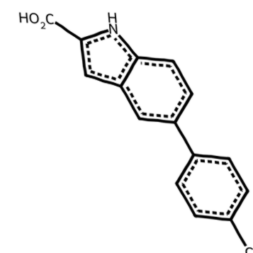 O=C(O)c1cc2cc(-c3ccc(Cl)cc3)ccc2[nH]1